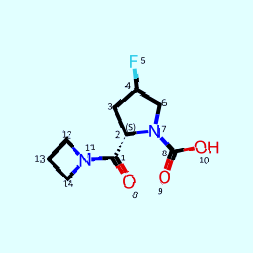 O=C([C@@H]1CC(F)CN1C(=O)O)N1CCC1